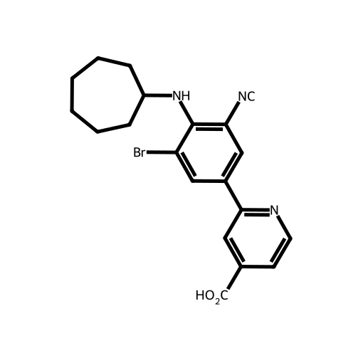 [C-]#[N+]c1cc(-c2cc(C(=O)O)ccn2)cc(Br)c1NC1CCCCCC1